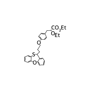 CCOC(=O)C(Cc1ccc(OCCCC2Sc3ccccc3Oc3ccccc32)cc1)OCC